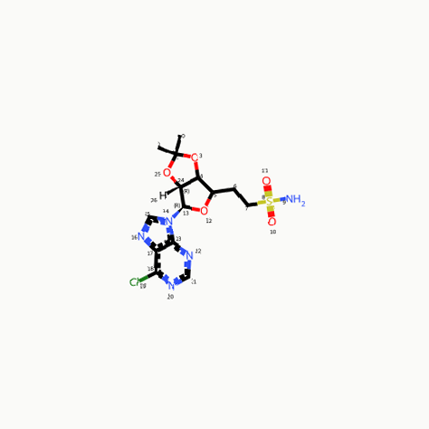 CC1(C)OC2C(CCS(N)(=O)=O)O[C@@H](n3cnc4c(Cl)ncnc43)[C@@H]2O1